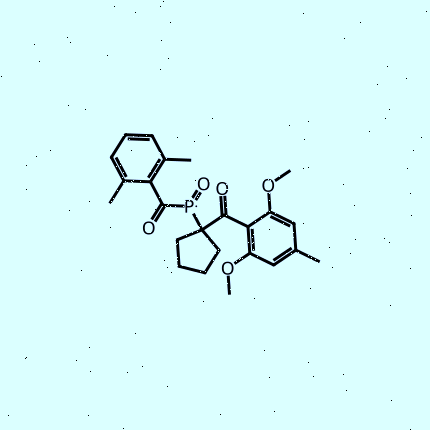 COc1cc(C)cc(OC)c1C(=O)C1([P](=O)C(=O)c2c(C)cccc2C)CCCC1